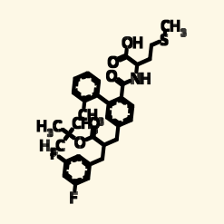 CSCCC(NC(=O)c1ccc(CC(Cc2cc(F)cc(F)c2)C(=O)OC(C)(C)C)cc1-c1ccccc1C)C(=O)O